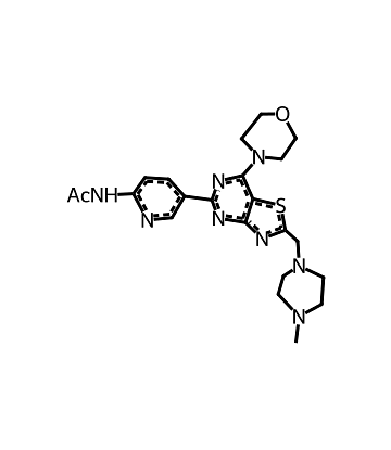 CC(=O)Nc1ccc(-c2nc(N3CCOCC3)c3sc(CN4CCN(C)CC4)nc3n2)cn1